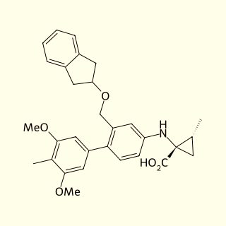 COc1cc(-c2ccc(N[C@@]3(C(=O)O)C[C@H]3C)cc2COC2Cc3ccccc3C2)cc(OC)c1C